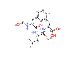 CC(C)CC(NC(=O)C(C)NC=O)C(=O)NC(Cc1ccccc1)C(=O)O